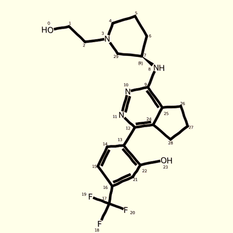 OCCN1CCC[C@@H](Nc2nnc(-c3ccc(C(F)(F)F)cc3O)c3c2CCC3)C1